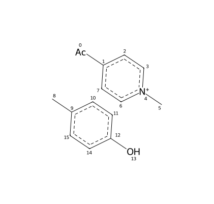 CC(=O)c1cc[n+](C)cc1.Cc1ccc(O)cc1